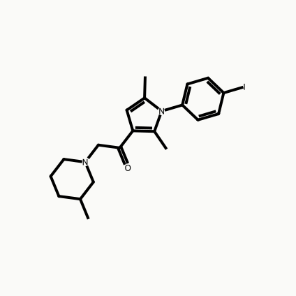 Cc1cc(C(=O)CN2CCCC(C)C2)c(C)n1-c1ccc(I)cc1